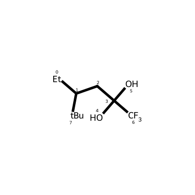 CCC(CC(O)(O)C(F)(F)F)C(C)(C)C